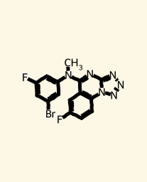 CN(c1cc(F)cc(Br)c1)c1nc2nnnn2c2ccc(F)cc12